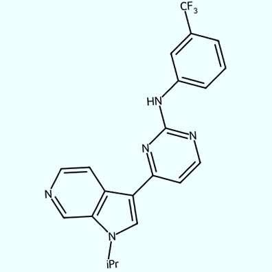 CC(C)n1cc(-c2ccnc(Nc3cccc(C(F)(F)F)c3)n2)c2ccncc21